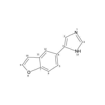 c1ncc(-c2ccc3occc3c2)[nH]1